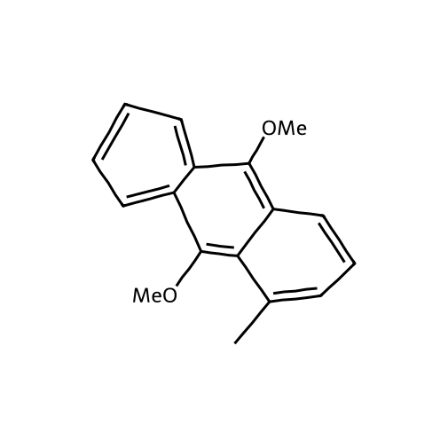 COc1c2ccccc2c(OC)c2c(C)cccc12